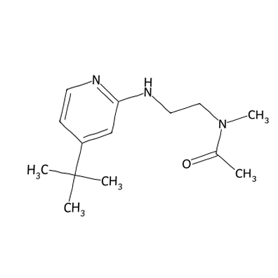 CC(=O)N(C)CCNc1cc(C(C)(C)C)ccn1